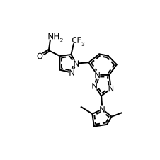 Cc1ccc(C)n1-c1nc2cccc(-n3ncc(C(N)=O)c3C(F)(F)F)n2n1